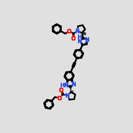 O=C(OCc1ccccc1)N1CCC[C@H]1c1ncc(-c2ccc(C#Cc3ccc4[nH]c([C@@H]5CCCN5C(=O)OCc5ccccc5)nc4c3)cc2)[nH]1